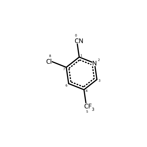 N#Cc1ncc(C(F)(F)F)cc1Cl